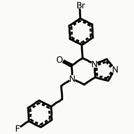 O=C1C(c2ccc(Br)cc2)n2cncc2CN1CCc1ccc(F)cc1